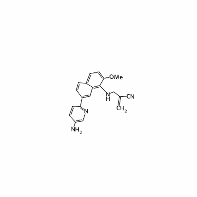 C=C(C#N)CNc1c(OC)ccc2ccc(-c3ccc(N)cn3)cc12